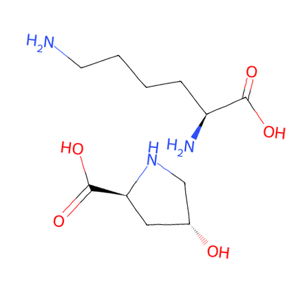 NCCCC[C@H](N)C(=O)O.O=C(O)[C@@H]1C[C@@H](O)CN1